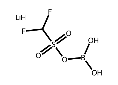 O=S(=O)(OB(O)O)C(F)F.[LiH]